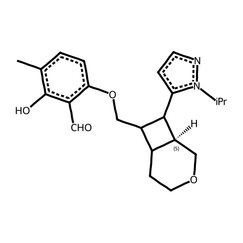 Cc1ccc(OCC2C3CCOC[C@@H]3C2c2ccnn2C(C)C)c(C=O)c1O